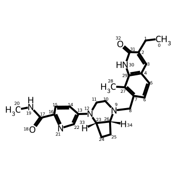 CCc1cc2ccc(CN3CCN(c4ccc(C(=O)NC)nc4)[C@H]4CC[C@H]43)c(C)c2[nH]c1=O